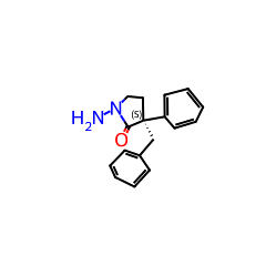 NN1CC[C@@](Cc2ccccc2)(c2ccccc2)C1=O